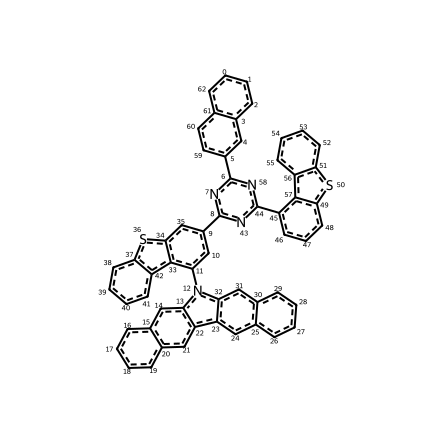 c1ccc2cc(-c3nc(-c4cc(-n5c6cc7ccccc7cc6c6cc7ccccc7cc65)c5c(c4)sc4ccccc45)nc(-c4cccc5sc6ccccc6c45)n3)ccc2c1